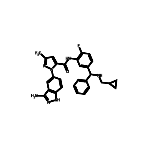 Nc1n[nH]c2ccc(-n3nc(C(F)(F)F)cc3C(=O)Nc3cc(C(NCC4CC4)c4ccccc4)ccc3F)cc12